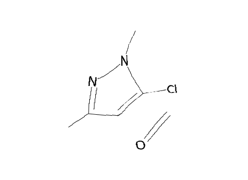 C=O.Cc1cc(Cl)n(C)n1